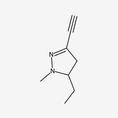 C#CC1=NN(C)C(CC)C1